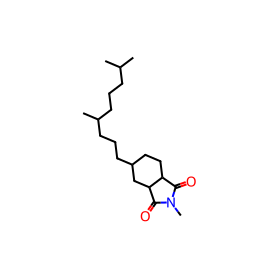 CC(C)CCCC(C)CCCC1CCC2C(=O)N(C)C(=O)C2C1